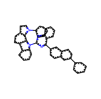 c1ccc(-c2ccc3cc(-c4nc(-n5c6ccccc6c6ccc7ccn(-c8ccccc8)c7c65)nc5ccccc45)ccc3c2)cc1